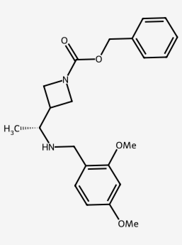 COc1ccc(CN[C@H](C)C2CN(C(=O)OCc3ccccc3)C2)c(OC)c1